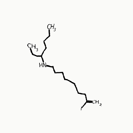 C=C(I)CCCCCCCNC(CC)CCCC